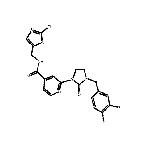 O=C(NCc1cnc(Cl)s1)c1ccnc(N2CCN(Cc3ccc(F)c(F)c3)C2=O)c1